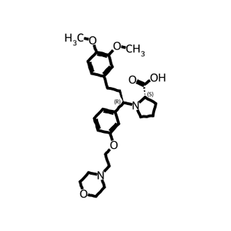 COc1ccc(CC[C@H](c2cccc(OCCN3CCOCC3)c2)N2CCC[C@H]2C(=O)O)cc1OC